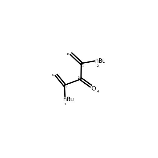 C=C(CCCC)C(=O)C(=C)CCCC